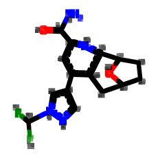 NC(=O)c1cc(-c2cnn(C(F)F)c2)c2c(n1)C1CCC(C2)O1